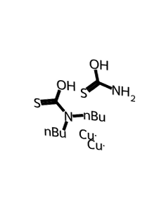 CCCCN(CCCC)C(O)=S.NC(O)=S.[Cu].[Cu]